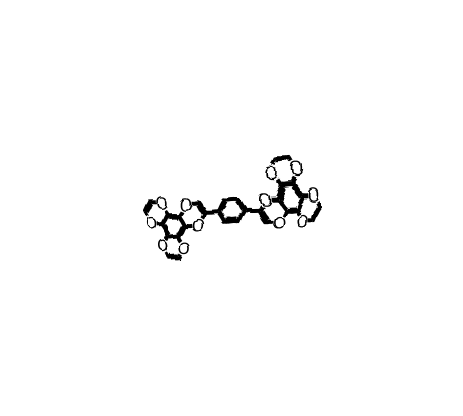 c1coc2c(o1)c1occoc1c1oc(-c3ccc(-c4coc5c6occoc6c6occoc6c5o4)cc3)coc21